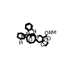 COC(=O)C1CN(c2nc3ccccc3n(C3=C4CC[C@@H](C3)N4C3CCCCCCC3)c2=O)CCC12OCCO2